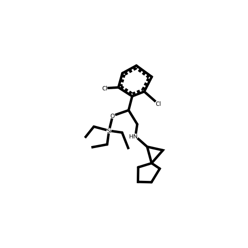 CC[Si](CC)(CC)OC(CNC1CC12CCCC2)c1c(Cl)cccc1Cl